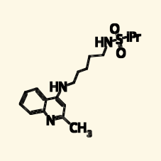 Cc1cc(NCCCCCNS(=O)(=O)C(C)C)c2ccccc2n1